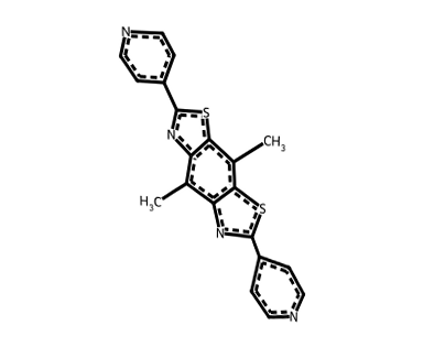 Cc1c2nc(-c3ccncc3)sc2c(C)c2sc(-c3ccncc3)nc12